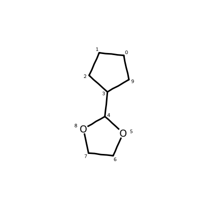 C1CCC(C2OCCO2)C1